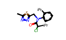 Cc1nnc(CN(C(=O)C(Cl)C(C)C)c2ccccc2C(C)C)s1